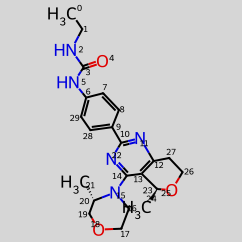 CCNC(=O)Nc1ccc(-c2nc3c(c(N4CCOC[C@@H]4C)n2)[C@H](C)OCC3)cc1